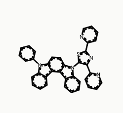 c1ccc(-n2c3ccccc3c3c4c5ccccc5n(-c5sc(-c6ccccn6)nc5-c5ccccn5)c4ccc32)cc1